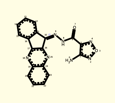 Nc1nonc1C(=O)N/N=C1/c2ccccc2-c2nc3ccccc3nc21